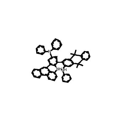 CC1(C)c2ccccc2C(C)(C)c2cc(-c3cc(N(c4ccccc4)c4ccccc4)cc4c3Bc3cccc5c3c-4cc3ccccc35)c(Nc3ccccc3)cc21